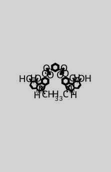 CN1CC[C@@]23c4c5ccc(OS(=O)(=O)c6cccc(S(=O)(=O)Oc7ccc8c9c7O[C@@H]7C(O)C=CC%10[C@H](C8)N(C)CC[C@]9%107)c6)c4O[C@@H]2C(O)C=CC3[C@@H]1C5